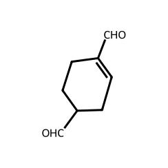 O=CC1=CCC(C=O)CC1